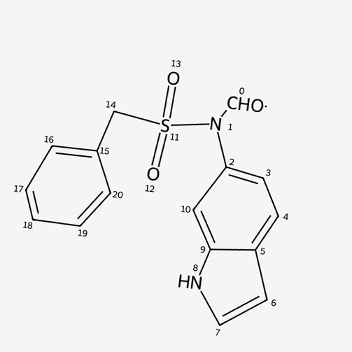 O=[C]N(c1ccc2cc[nH]c2c1)S(=O)(=O)Cc1ccccc1